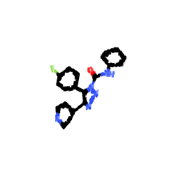 O=C(Nc1ccccc1)n1nnc(-c2ccncc2)c1-c1ccc(F)cc1